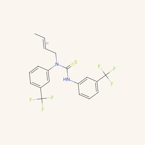 C/C=C/CN(C(=S)Nc1cccc(C(F)(F)F)c1)c1cccc(C(F)(F)F)c1